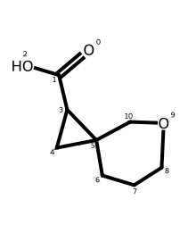 O=C(O)C1CC12CCCOC2